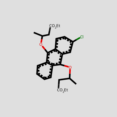 CCOC(=O)CC(C)Oc1c2ccccc2c(OC(C)CC(=O)OCC)c2cc(Cl)ccc12